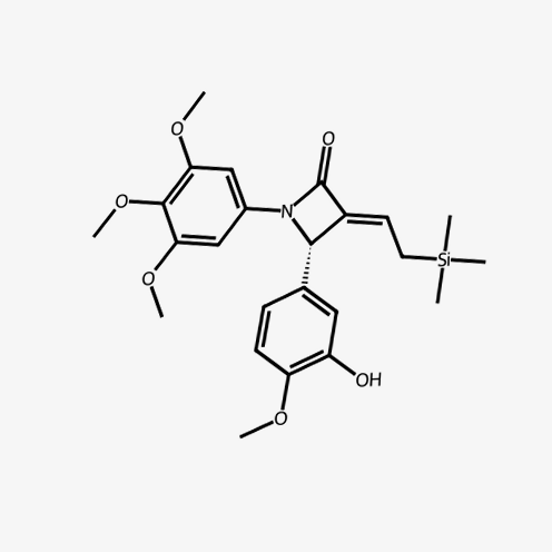 COc1ccc([C@H]2/C(=C\C[Si](C)(C)C)C(=O)N2c2cc(OC)c(OC)c(OC)c2)cc1O